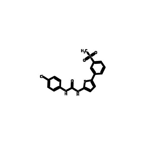 CS(=O)(=O)c1cccc(-c2ccc(NC(=O)Nc3ccc(Cl)cc3)s2)c1